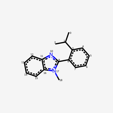 CC(C)c1ccccc1-c1nc2ccccc2n1C